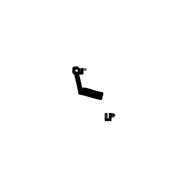 C=[CH][Cu-].[Li+]